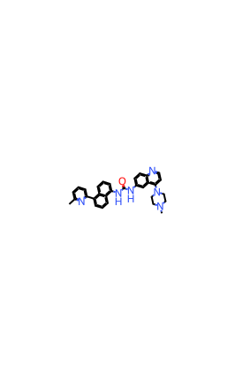 Cc1cccc(-c2cccc3c(NC(=O)Nc4ccc5nccc(N6CCN(C)CC6)c5c4)cccc23)n1